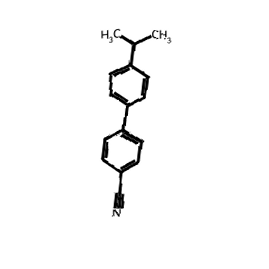 CC(C)c1ccc(-c2ccc(C#N)cc2)cc1